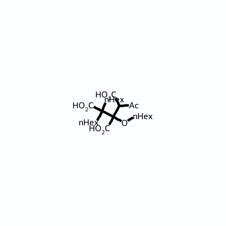 CCCCCCOC(C(=O)O)(C(C(C)=O)C(=O)O)C(CCCCCC)(CCCCCC)C(=O)O